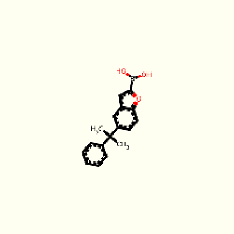 CC(C)(c1ccccc1)c1ccc2oc(B(O)O)cc2c1